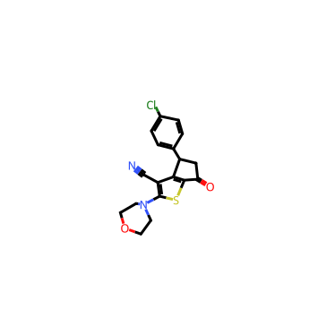 N#Cc1c(N2CCOCC2)sc2c1C(c1ccc(Cl)cc1)CC2=O